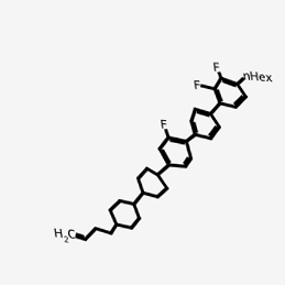 C=CCCC1CCC(C2CCC(c3ccc(-c4ccc(-c5ccc(CCCCCC)c(F)c5F)cc4)c(F)c3)CC2)CC1